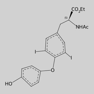 CCOC(=O)[C@H](Cc1cc(I)c(Oc2ccc(O)cc2)c(I)c1)NC(C)=O